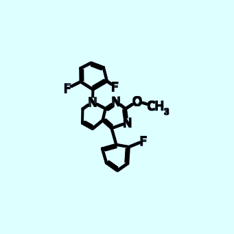 COc1nc(-c2ccccc2F)c2c(n1)N(c1c(F)cccc1F)CC=C2